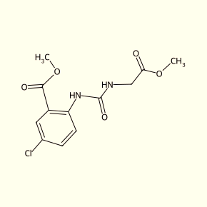 COC(=O)CNC(=O)Nc1ccc(Cl)cc1C(=O)OC